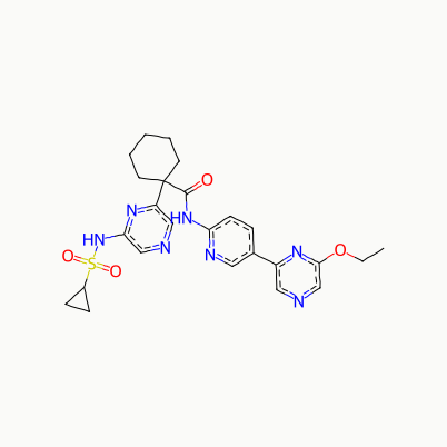 CCOc1cncc(-c2ccc(NC(=O)C3(c4cncc(NS(=O)(=O)C5CC5)n4)CCCCC3)nc2)n1